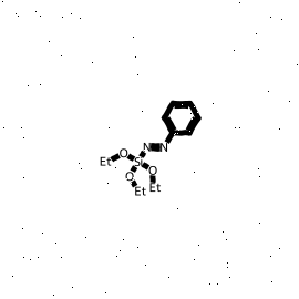 CCO[Si](/N=N/c1ccccc1)(OCC)OCC